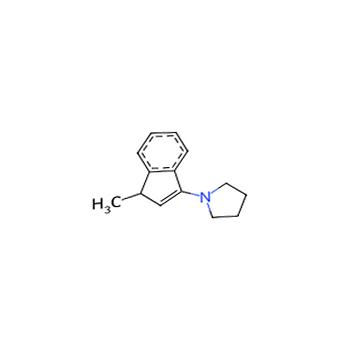 CC1C=C(N2CCCC2)c2ccccc21